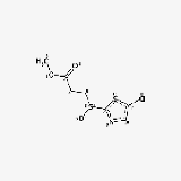 COC(=O)CC[S+]([O-])c1ncc(Cl)s1